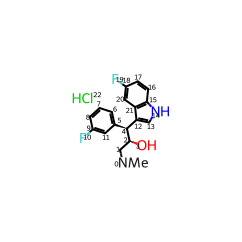 CNC[C@H](O)[C@@H](c1cccc(F)c1)c1c[nH]c2ccc(F)cc12.Cl